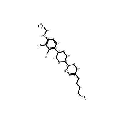 CCCCCC1=COC(C2CCC(c3ccc(OCC)c(F)c3F)CC2)CC1